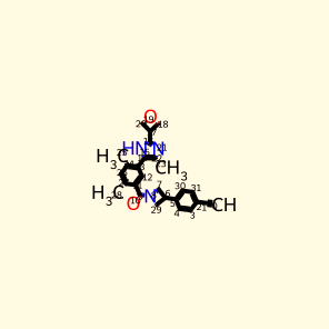 C#Cc1ccc(C2CN(C(=O)c3cc(-c4[nH]c(C5COC5)nc4C)c(C)cc3C)C2)cc1